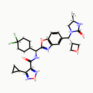 O=C(N[C@H](c1nc2cc([C@@H](C3COC3)N3C[C@@H](C(F)(F)F)NC3=O)ccc2o1)C1CCC(F)(F)CC1)c1nonc1C1CC1